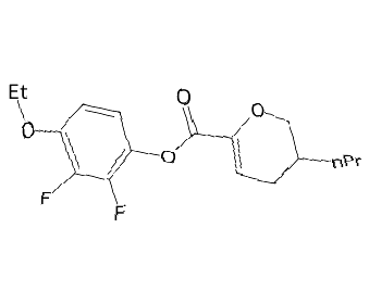 CCCC1CC=C(C(=O)Oc2ccc(OCC)c(F)c2F)OC1